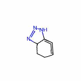 C1=CCCC2N=NNC=12